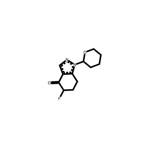 O=C1c2cnn(C3CCCCO3)c2CCC1F